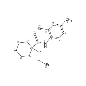 Cc1ccc(NC(=O)C2(CCC(C)C)CCCCC2)c(S)c1